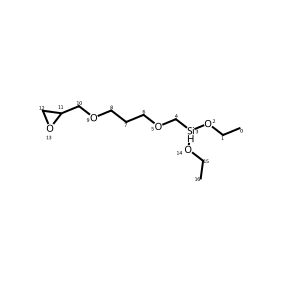 CCO[SiH](COCCCOCC1CO1)OCC